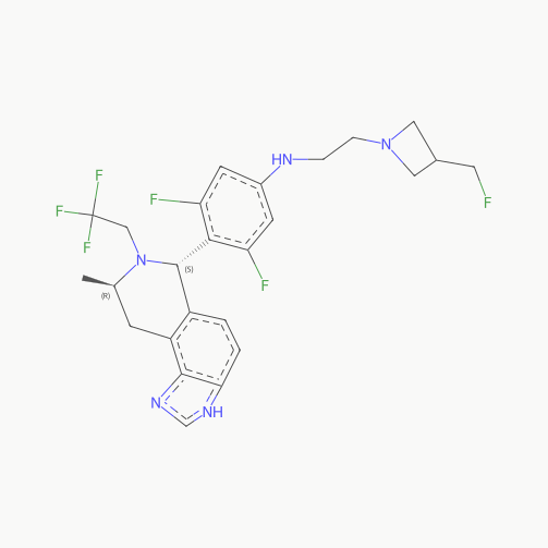 C[C@@H]1Cc2c(ccc3[nH]cnc23)[C@@H](c2c(F)cc(NCCN3CC(CF)C3)cc2F)N1CC(F)(F)F